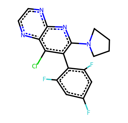 Fc1cc(F)c(-c2c(N3CCCC3)nc3nccnc3c2Cl)c(F)c1